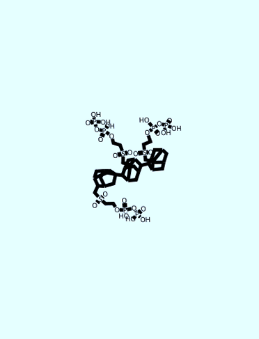 O=P(O)(O)OP(=O)(O)OCCS(=O)(=O)CC1C2CC3CC1CC(C1C4CC5CC1C(CS(=O)(=O)CCOP(=O)(O)OP(=O)(O)O)C(C4)C5C1C4CC5CC(C4)C(CS(=O)(=O)CCOP(=O)(O)OP(=O)(O)O)C1C5)(C3)C2